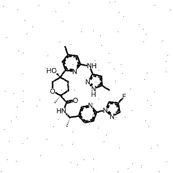 Cc1cc(Nc2cc(C)[nH]n2)nc([C@]2(O)CC[C@@](C)(C(=O)N[C@@H](C)c3ccc(-n4cc(F)cn4)nc3)OC2)c1